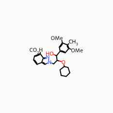 COc1cc(C(O)C(Cn2cc3cccc(C(=O)O)c3n2)OC2CCCCC2)cc(OC)c1C